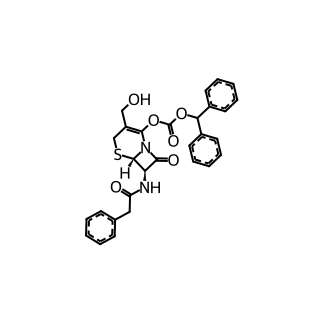 O=C(Cc1ccccc1)N[C@@H]1C(=O)N2C(OC(=O)OC(c3ccccc3)c3ccccc3)=C(CO)CS[C@@H]12